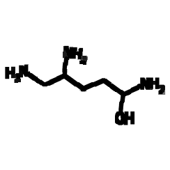 NCC(N)CCC(N)O